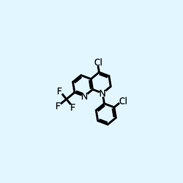 FC(F)(F)c1ccc2c(n1)N(c1ccccc1Cl)CC=C2Cl